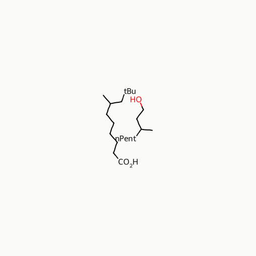 CC(CCCCCC(=O)O)CC(C)(C)C.CCCCCC(C)CCO